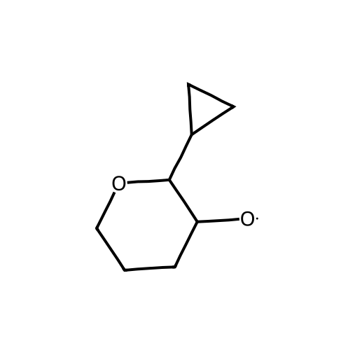 [O]C1CCCOC1C1CC1